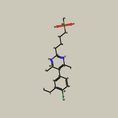 CCc1cc(-c2c(C)nc(CCCCS(C)(=O)=O)nc2C)ccc1F